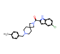 Cc1ccc(CN2CCC3(CC2)CN(C(=O)c2cc4cc(Cl)ccc4[nH]2)C3)cc1